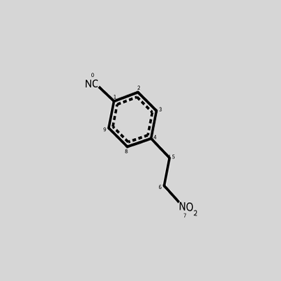 N#Cc1ccc([CH]C[N+](=O)[O-])cc1